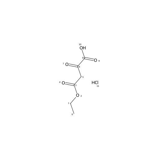 CCOC(=O)CC(=O)C(=O)O.Cl